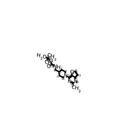 Cc1nc(N2CCC(CNC(=O)OC(C)(C)C)CC2)c2occc2n1